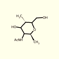 CC(=O)NC1C(O)[C@H](C)C(CO)O[C@H]1C